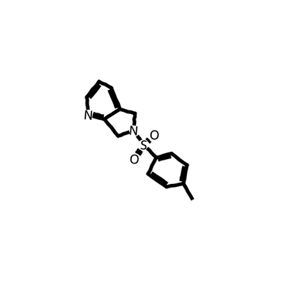 Cc1ccc(S(=O)(=O)N2Cc3cccnc3C2)cc1